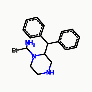 CCC(N)N1CCNCC1C(c1ccccc1)c1ccccc1